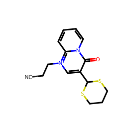 N#CCC[n+]1cc(C2SCCCS2)c(=O)n2ccccc21